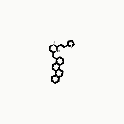 C(=CC1NCC=C(Cc2cccc3c2ccc2c4ccccc4ccc32)N1)c1cccs1